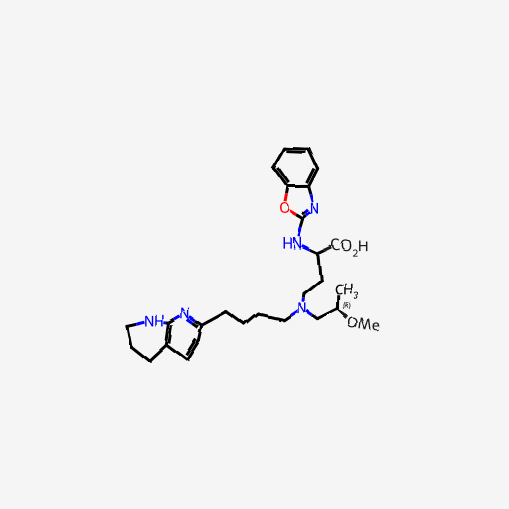 CO[C@H](C)CN(CCCCc1ccc2c(n1)NCCC2)CCC(Nc1nc2ccccc2o1)C(=O)O